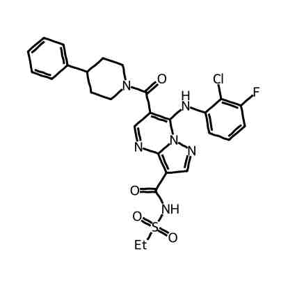 CCS(=O)(=O)NC(=O)c1cnn2c(Nc3cccc(F)c3Cl)c(C(=O)N3CCC(c4ccccc4)CC3)cnc12